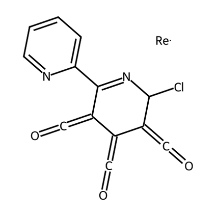 O=C=C1C(=C=O)C(c2ccccn2)=NC(Cl)C1=C=O.[Re]